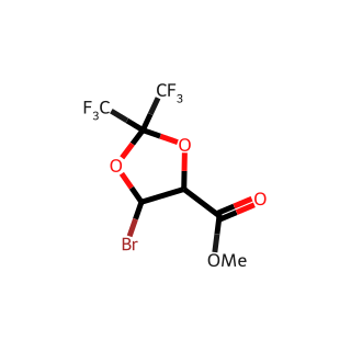 COC(=O)C1OC(C(F)(F)F)(C(F)(F)F)OC1Br